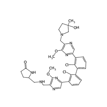 COc1nc(-c2cccc(-c3cccc(-c4cnc(CN5CCC(C)(O)C5)c(OC)n4)c3Cl)c2Cl)cnc1CNCC1CCC(=O)N1